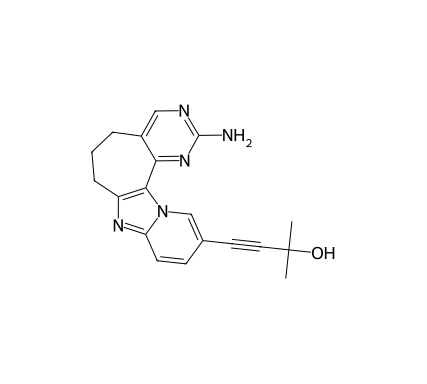 CC(C)(O)C#Cc1ccc2nc3c(n2c1)-c1nc(N)ncc1CCC3